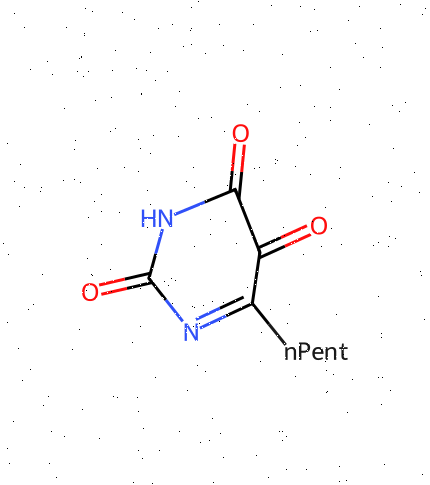 CCCCCC1=NC(=O)NC(=O)C1=O